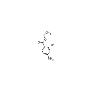 CCOC(=O)c1ccc(N)cc1.[H+]